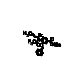 C/C=C/CN(C(=O)C(F)(F)F)c1c(Br)cc(C(=O)OC)cc1OCc1ccccc1